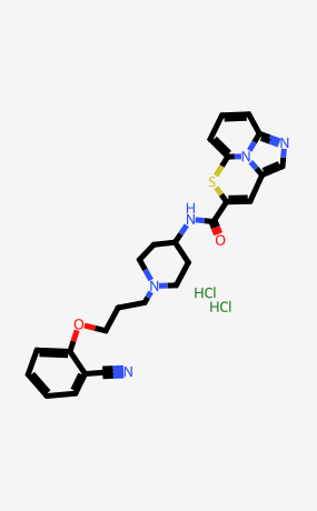 Cl.Cl.N#Cc1ccccc1OCCCN1CCC(NC(=O)C2=Cc3cnc4cccc(n34)S2)CC1